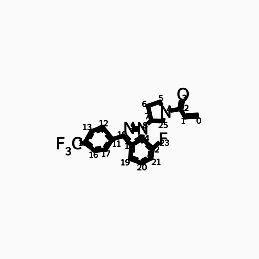 C=CC(=O)N1CCC(n2nc(-c3ccc(C(F)(F)F)cc3)c3cccc(F)c32)C1